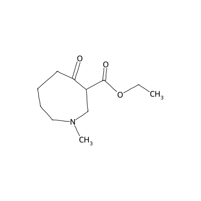 CCOC(=O)C1CN(C)CCCCC1=O